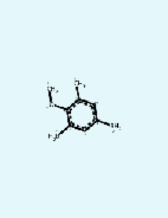 Bc1cc(B)c(OC)c(C)c1